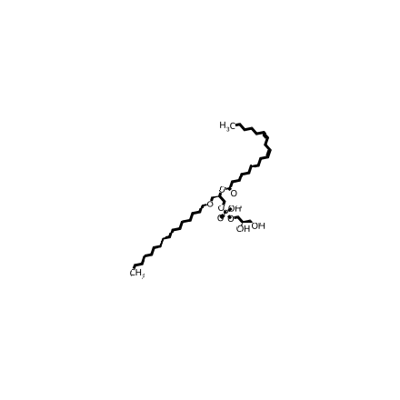 CCCCC/C=C\C/C=C\CCCCCCCC(=O)O[C@H](COCCCCCCCCCCCCCCCC)COP(=O)(O)OC[C@@H](O)CO